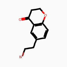 O=C1CCOc2ccc(CCBr)cc21